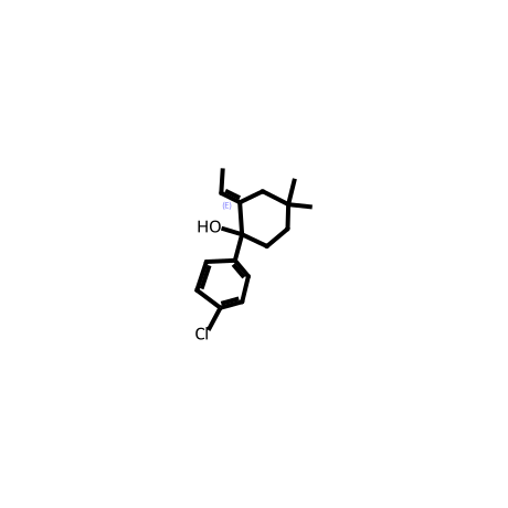 C/C=C1\CC(C)(C)CCC1(O)c1ccc(Cl)cc1